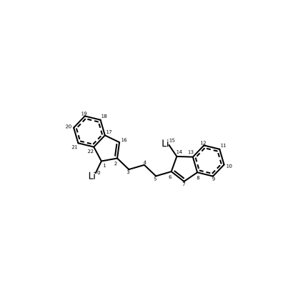 [Li][CH]1C(CCCC2=Cc3ccccc3[CH]2[Li])=Cc2ccccc21